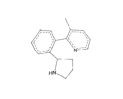 Cc1cccnc1-c1ccccc1C1CCCN1